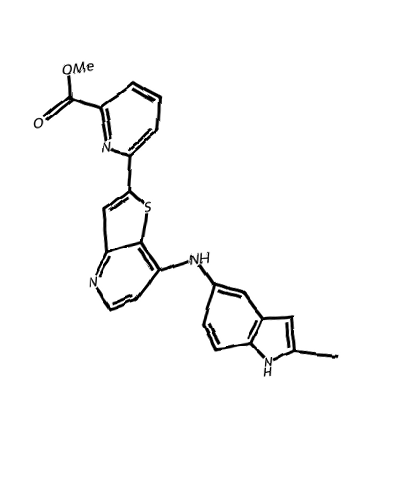 COC(=O)c1cccc(-c2cc3nccc(Nc4ccc5[nH]c(C)cc5c4)c3s2)n1